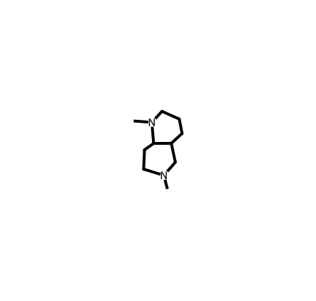 CN1CCC2C(CCCN2C)C1